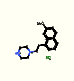 COc1ccc2cccc(CCN3CCNCC3)c2c1.Cl